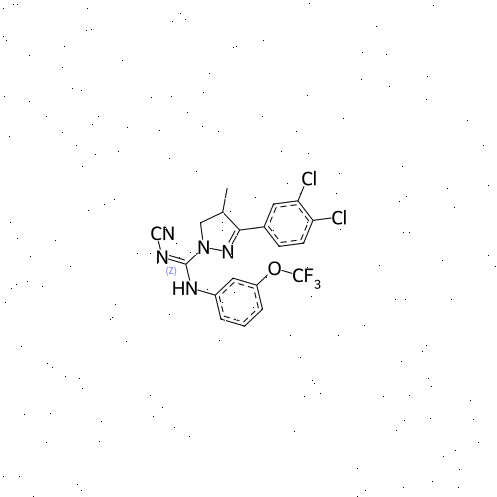 CC1CN(/C(=N\C#N)Nc2cccc(OC(F)(F)F)c2)N=C1c1ccc(Cl)c(Cl)c1